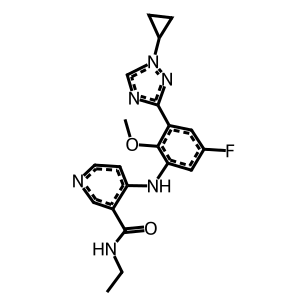 CCNC(=O)c1cnccc1Nc1cc(F)cc(-c2ncn(C3CC3)n2)c1OC